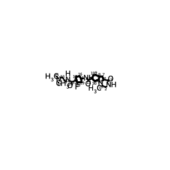 CC1CNC(=O)c2cc3ccc(C(=O)Nc4ccc(C(=O)NCCN(C)C)c(F)c4)cc3n21